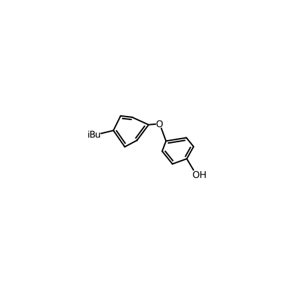 CCC(C)c1ccc(Oc2ccc(O)cc2)cc1